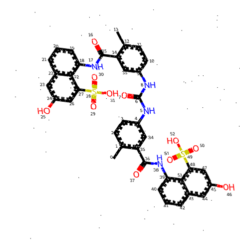 Cc1ccc(NC(=O)Nc2ccc(C)c(C(=O)Nc3cccc4cc(O)cc(S(=O)(=O)O)c34)c2)cc1C(=O)Nc1cccc2cc(O)cc(S(=O)(=O)O)c12